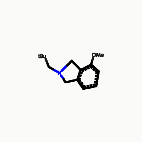 COc1cccc2c1CN(CC(C)(C)C)C2